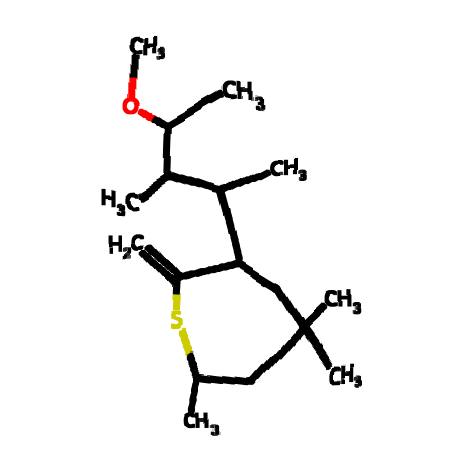 C=C1SC(C)CC(C)(C)CC1C(C)C(C)C(C)OC